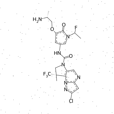 CC(F)n1cc(NC(=O)N2C[C@@](C)(C(F)(F)F)c3c2cnc2cc(Cl)nn32)cc(OC[C@@H](C)N)c1=O